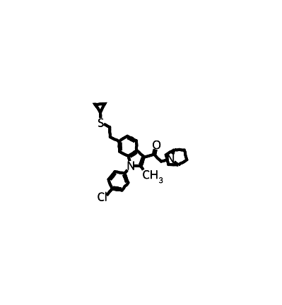 Cc1c(C(=O)CN2C3CCC2CC3)c2ccc(CCSC3CC3)cc2n1-c1ccc(Cl)cc1